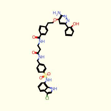 Nc1nnc(-c2ccccc2O)cc1OCCc1ccc(C(=O)NCCC(=O)NCc2ccc(S(=O)(=O)Nc3cccc4c(Cl)c[nH]c34)cc2)cc1